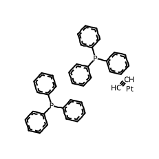 C#C.[Pt].c1ccc(P(c2ccccc2)c2ccccc2)cc1.c1ccc(P(c2ccccc2)c2ccccc2)cc1